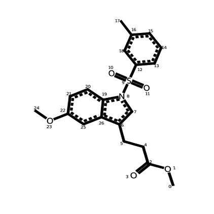 COC(=O)CCc1cn(S(=O)(=O)c2cccc(C)c2)c2ccc(OC)cc12